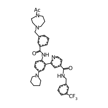 CC(=O)N1CCCN(Cc2cccc(C(=O)Nc3ccc(N4CCCCC4)cc3-c3cc(C(=O)NCc4cccc(C(F)(F)F)c4)ccn3)c2)CC1